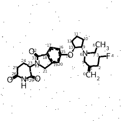 C=C(CCF)CN(CC)[C@H]1CCC[C@@H]1Oc1ccc2c(c1)CN(C1CCC(=O)NC1=O)C2=O